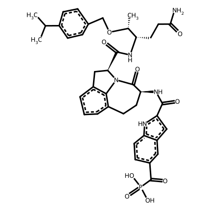 CC(C)c1ccc(CO[C@H](C)[C@H](CCC(N)=O)NC(=O)[C@@H]2Cc3cccc4c3N2C(=O)[C@@H](NC(=O)c2cc3cc(C(=O)P(=O)(O)O)ccc3[nH]2)CC4)cc1